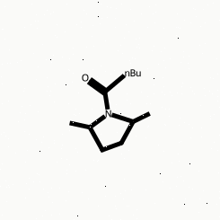 CCCCC(=O)N1C(C)CCC1C